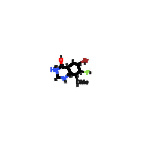 COc1c(F)c(Br)cc2c(=O)[nH]cnc12